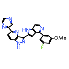 COc1cc(F)cc(-c2nccc3[nH]c(-c4n[nH]c5ccc(-c6cnccn6)nc45)cc23)c1